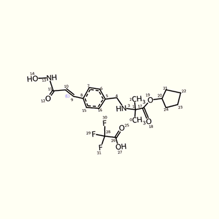 CC(C)(NCc1ccc(/C=C/C(=O)NO)cc1)C(=O)OC1CCCC1.O=C(O)C(F)(F)F